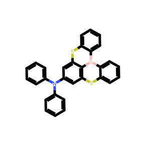 c1ccc(N(c2ccccc2)c2cc3c4c(c2)Sc2ccccc2B4c2ccccc2S3)cc1